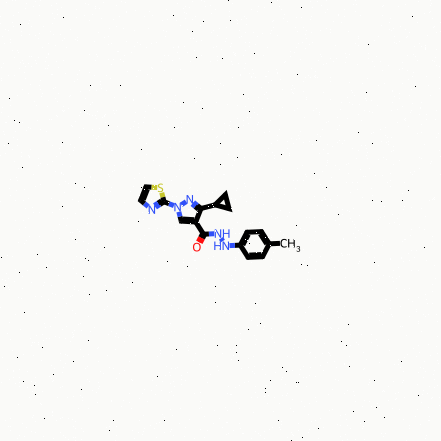 Cc1ccc(NNC(=O)c2cn(-c3nccs3)nc2C2CC2)cc1